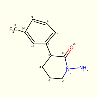 NN1CCCC(c2cccc(C(F)(F)F)c2)C1=O